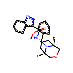 COc1ccccc1CN1[C@@H]2COC[C@H]1C[C@@H](NC(=O)c1n[nH]c3ccccc13)C2